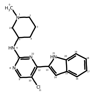 CN1CCCC(Nc2ncc(Cl)c(-c3cc4ccccc4[nH]3)n2)C1